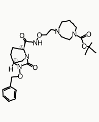 CC(C)(C)OC(=O)N1CCCN(CCONC(=O)[C@@H]2CC[C@@H]3CN2C(=O)N3OCc2ccccc2)CC1